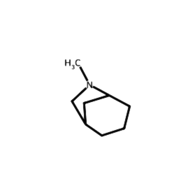 CN1CC2CCCC1C2